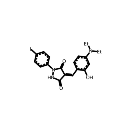 CCN(CC)c1ccc(C=C2C(=O)NN(c3ccc(I)cc3)C2=O)c(O)c1